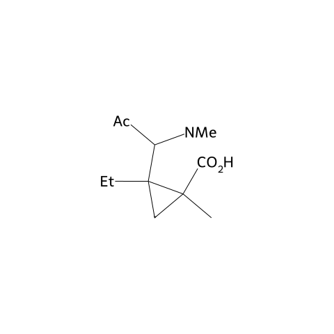 CCC1(C(NC)C(C)=O)CC1(C)C(=O)O